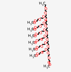 CCCOCCOCC(COCC(COCC(COCC(COCC(COCC(COCCOCCOOC)OCCOCCOOC)OCCOCCOOC)OCCOCCOOC)OCCOCCOOC)OCCOCCOOC)OCCOCCOOC